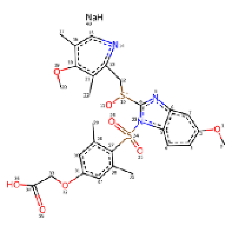 COc1ccc2c(c1)nc([S+]([O-])Cc1ncc(C)c(OC)c1C)n2S(=O)(=O)c1c(C)cc(OCC(=O)O)cc1C.[NaH]